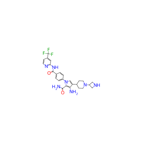 NC(=O)c1c(N)c(C2CCN(C3CNC3)CC2)cn1-c1ccc(C(=O)Nc2cc(C(F)(F)F)ccn2)cc1